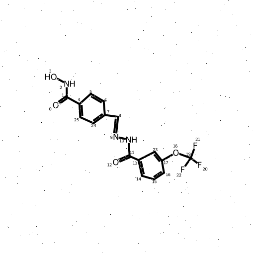 O=C(NO)c1ccc(C=NNC(=O)c2cccc(OC(F)(F)F)c2)cc1